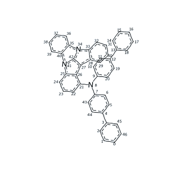 c1ccc(-c2ccc(N(c3ccc(-c4ccccc4)cc3)c3cccc4c3c3c5ccccc5n5c6ccccc6n4c35)cc2)cc1